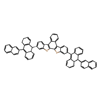 C1=CC2=C(c3ccc4ccccc4c3)C3=C(C=CCC3)C(c3ccc4c(c3)sc3c5sc6cc(C7=C8C=CC=CC8C(c8ccc9ccccc9c8)c8ccccc87)ccc6c5c5ccccc5c43)C2C=C1